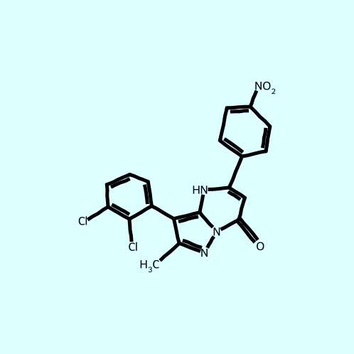 Cc1nn2c(=O)cc(-c3ccc([N+](=O)[O-])cc3)[nH]c2c1-c1cccc(Cl)c1Cl